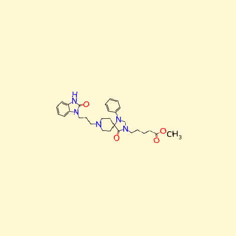 COC(=O)CCCCN1CN(c2ccccc2)C2(CCN(CCCn3c(=O)[nH]c4ccccc43)CC2)C1=O